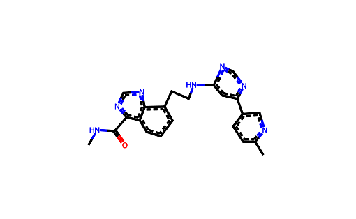 CNC(=O)c1ncnc2c(CCNc3cc(-c4ccc(C)nc4)ncn3)cccc12